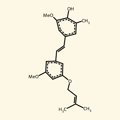 COc1cc(/C=C/c2cc(C)c(O)c(OC)c2)cc(OCC=C(C)C)c1